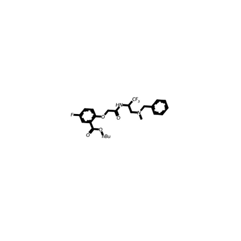 CCCCOC(=O)c1cc(F)ccc1OCC(=O)NC(CN(C)Cc1ccccc1)C(F)(F)F